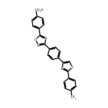 O=C(O)c1ccc(-c2nc(-c3ccc(-c4csc(-c5ccc(C(F)(F)F)cc5)n4)cc3)no2)cc1